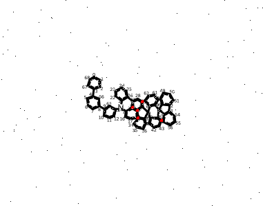 c1ccc(-c2cccc(-c3cccc(N(c4ccccc4)c4ccccc4-c4ccc5c(c4)-c4ccccc4C54c5ccccc5C5(c6ccccc6-c6ccccc65)c5ccccc54)c3)c2)cc1